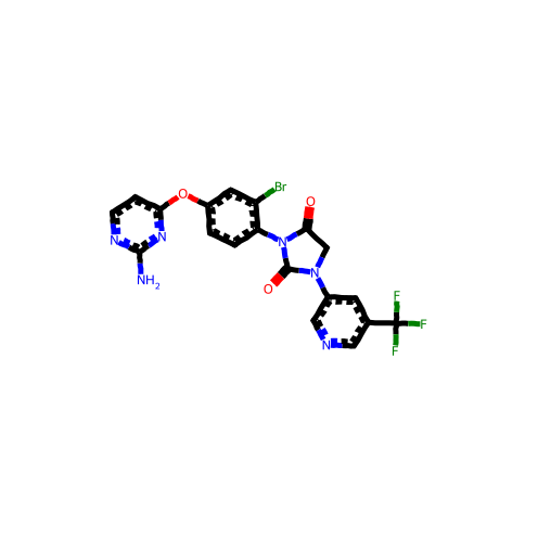 Nc1nccc(Oc2ccc(N3C(=O)CN(c4cncc(C(F)(F)F)c4)C3=O)c(Br)c2)n1